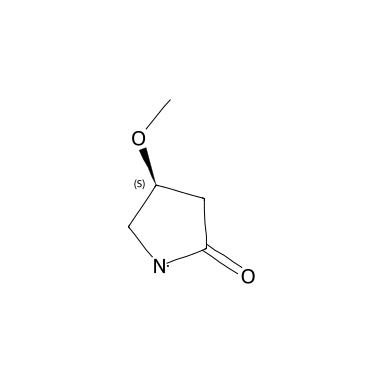 CO[C@@H]1C[N]C(=O)C1